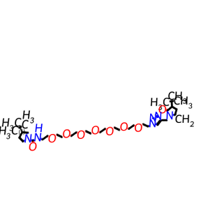 C=C1CC(C(C)(C)C)C(=O)N1Cc1cn(CCOCCOCCOCCOCCOCCOCCOCCNC(=O)N2CC[C@@H](C(C)(C)C)C2)nn1